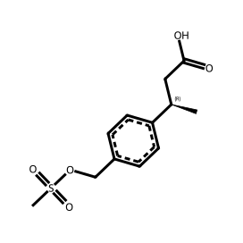 C[C@H](CC(=O)O)c1ccc(COS(C)(=O)=O)cc1